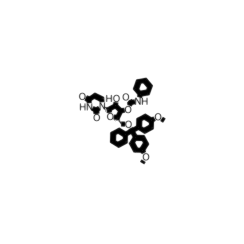 COc1ccc(C(OC[C@@H]2O[C@H](n3ccc(=O)[nH]c3=O)C(O)C2OC(=O)Nc2ccccc2)(c2ccccc2)c2ccc(OC)cc2)cc1